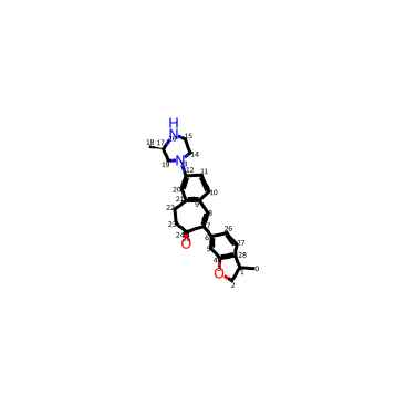 CC1COc2cc(C3=Cc4ccc(N5CCN[C@H](C)C5)cc4CCC3=O)ccc21